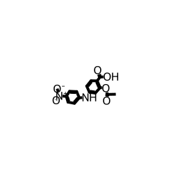 CC(=O)Oc1cc(Nc2ccc([N+](=O)[O-])cc2)ccc1C(=O)O